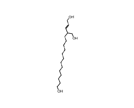 OCC=CC(CO)CCCCCCCCCCCCCO